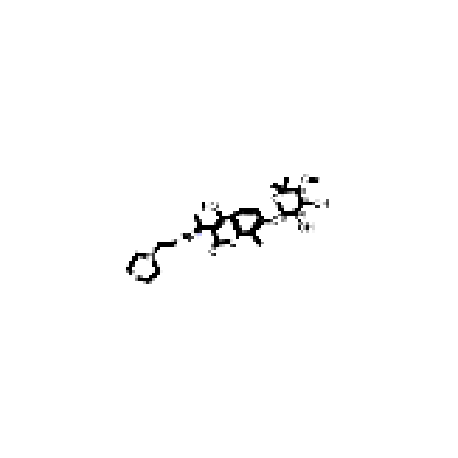 CO[C@@H]1[C@@H](O)[C@@H](O)[C@H](Oc2ccc3c(O)c(/C(C)=N/OCCN4CCOCC4)c(=O)oc3c2C)OC1(C)C